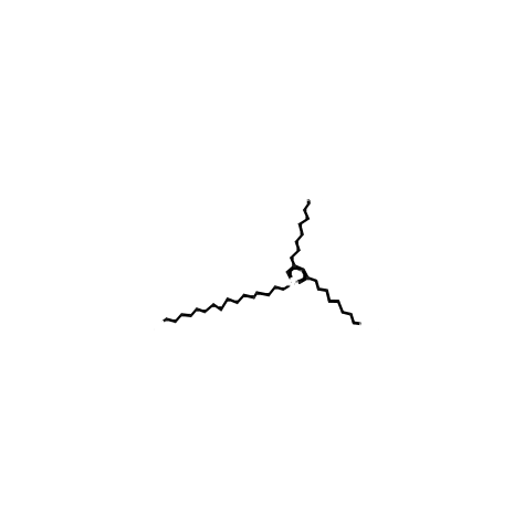 CCCCCCCCCCCCCCCCC[n+]1cc(CCCCCCCCC)cc(CCCCCCCCC)c1